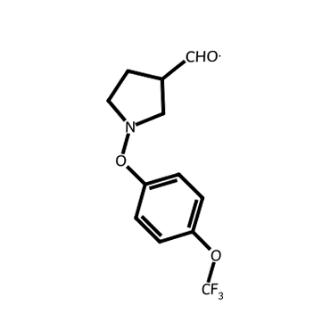 O=[C]C1CCN(Oc2ccc(OC(F)(F)F)cc2)C1